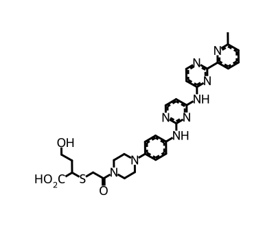 Cc1cccc(-c2nccc(Nc3ccnc(Nc4ccc(N5CCN(C(=O)CSC(CCO)C(=O)O)CC5)cc4)n3)n2)n1